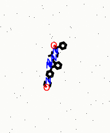 CC1CN(C(=O)c2ccccc2)CCN1c1nnc(-c2ccc(N3CCOCC3)cc2)c2ccccc12